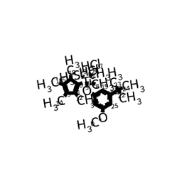 COc1cc([O][Ti]([CH3])([CH3])([SiH3])[C]2=C(C)C(C)=C(C)C2C)cc(C(C)(C)C)c1.Cl.Cl